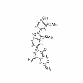 COc1cc(-c2oc3ccc(C(C[C@H](C)C[CH]C(N)=O)C(N)=O)cc3c2SC)ccc1O